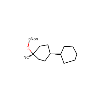 CCCCCCCCCO[C@]1(C#N)CC[C@@H](C2CCCCC2)CC1